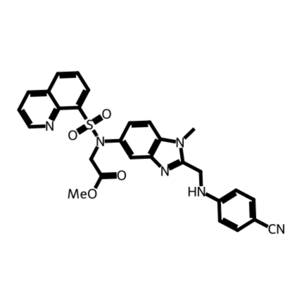 COC(=O)CN(c1ccc2c(c1)nc(CNc1ccc(C#N)cc1)n2C)S(=O)(=O)c1cccc2cccnc12